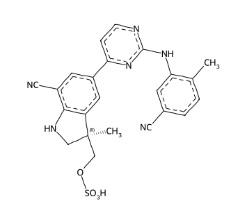 Cc1ccc(C#N)cc1Nc1nccc(-c2cc(C#N)c3c(c2)[C@@](C)(COS(=O)(=O)O)CN3)n1